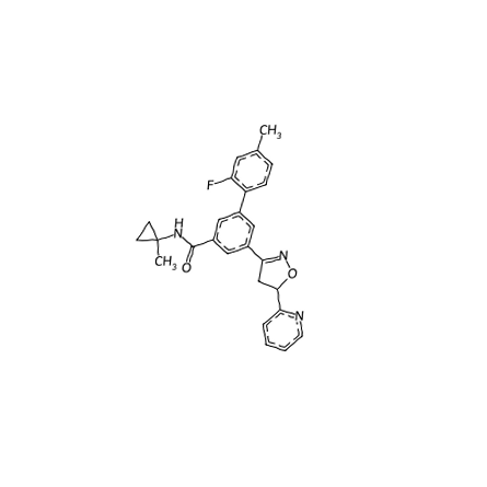 Cc1ccc(-c2cc(C(=O)NC3(C)CC3)cc(C3=NOC(c4ccccn4)C3)c2)c(F)c1